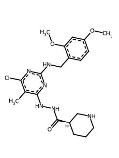 COc1ccc(CNc2nc(Cl)c(C)c(NNC(=O)[C@@H]3CCCNC3)n2)c(OC)c1